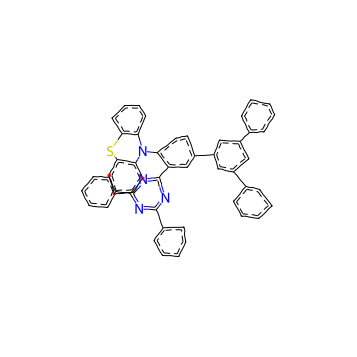 c1ccc(-c2cc(-c3ccccc3)cc(-c3ccc(N4c5ccccc5Sc5ccccc54)c(-c4nc(-c5ccccc5)nc(-c5ccccc5)n4)c3)c2)cc1